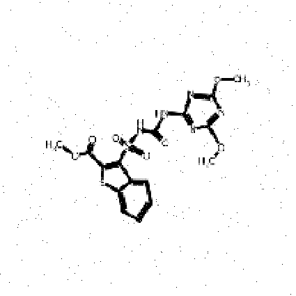 COC(=O)c1sc2ccccc2c1S(=O)(=O)NC(=O)Nc1nc(OC)nc(OC)n1